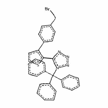 BrCc1ccc(-c2ccsc2-c2nnnn2C(c2ccccc2)(c2ccccc2)c2ccccc2)cc1